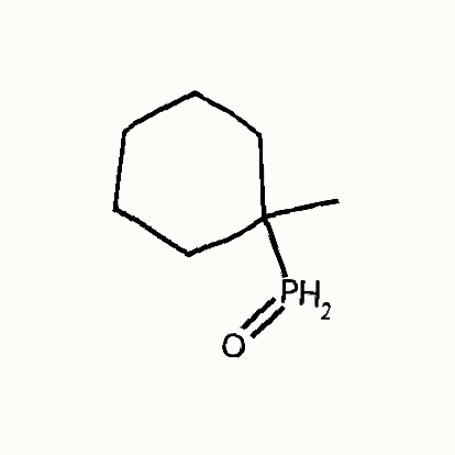 CC1([PH2]=O)CCCCC1